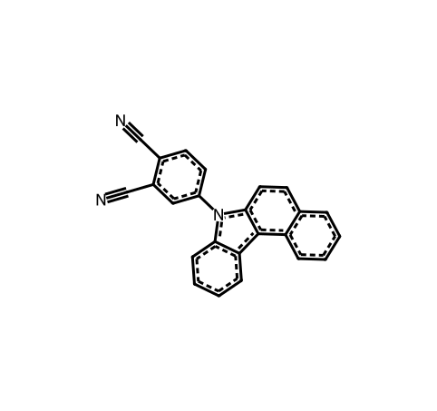 N#Cc1ccc(-n2c3ccccc3c3c4ccccc4ccc32)cc1C#N